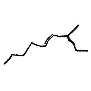 C[CH]CCC=CC(C)CC